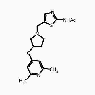 CC(=O)Nc1ncc(CN2CC[C@@H](Oc3cc(C)nc(C)c3)C2)s1